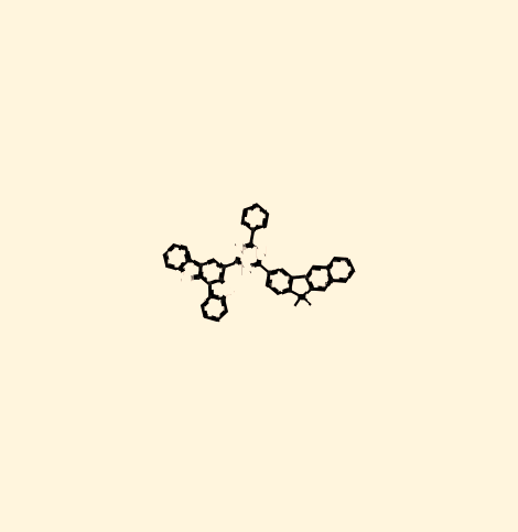 CC1(C)c2ccc(-c3nc(-c4ccccc4)nc(-c4cc5c6ccccc6oc5c5c4sc4ccccc45)n3)cc2-c2cc3ccccc3cc21